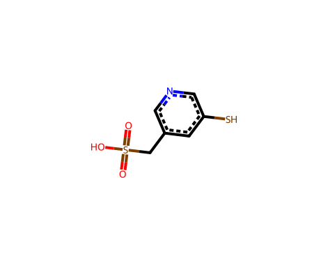 O=S(=O)(O)Cc1cncc(S)c1